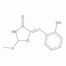 CSC1NC(=O)/C(=C/c2ccccc2O)O1